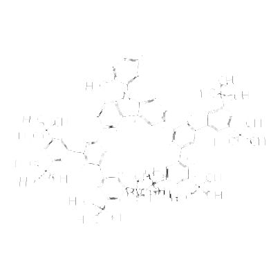 Cc1ccccc1-n1c2ccc(-c3cc(-c4cc(C(C)(C)C)cc(C(C)(C)C)c4)cc(-c4cc(C(C)(C)C)cc(C(C)(C)C)c4)c3)cc2c2cc(-c3cc(-c4cc(C(C)(C)C)cc(C(C)(C)C)c4)cc(-c4cc(C(C)(C)C)cc(C(C)(C)C)c4)c3)ccc21